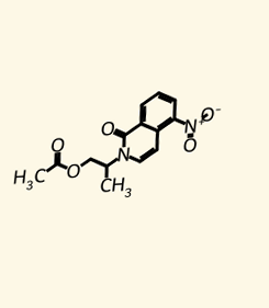 CC(=O)OCC(C)n1ccc2c([N+](=O)[O-])cccc2c1=O